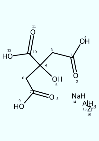 O=C(O)CC(O)(CC(=O)O)C(=O)O.[AlH3].[NaH].[Zr]